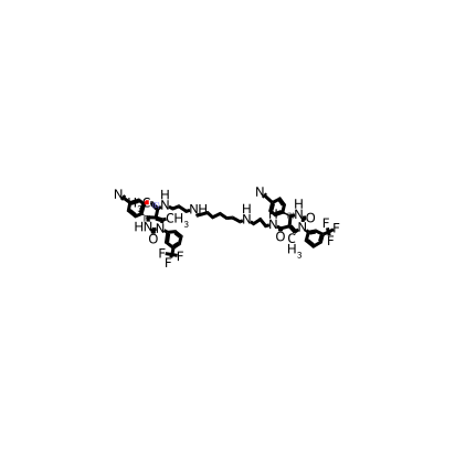 C/C=C(/NCCCNCCCCCCCNCCCNC(=O)C1=C(C)N(c2cccc(C(F)(F)F)c2)C(=O)N[C@@H]1c1ccc(C#N)cc1)C1=C(C)N(c2cccc(C(F)(F)F)c2)C(=O)N[C@@H]1c1ccc(C#N)cc1